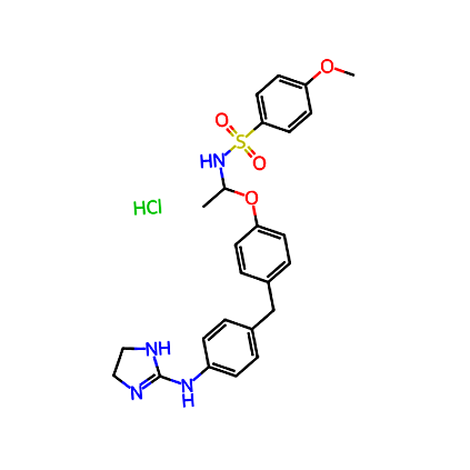 COc1ccc(S(=O)(=O)NC(C)Oc2ccc(Cc3ccc(NC4=NCCN4)cc3)cc2)cc1.Cl